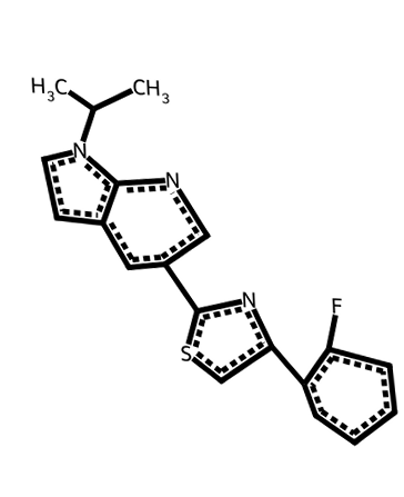 CC(C)n1ccc2cc(-c3nc(-c4ccccc4F)cs3)cnc21